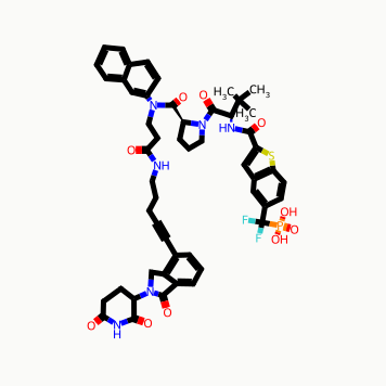 CC(C)(C)[C@H](NC(=O)c1cc2cc(C(F)(F)P(=O)(O)O)ccc2s1)C(=O)N1CCC[C@H]1C(=O)N(CCC(=O)NCCCC#Cc1cccc2c1CN(C1CCC(=O)NC1=O)C2=O)c1ccc2ccccc2c1